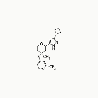 CC1(Sc2cccc(C(F)(F)F)c2)CCOC(c2cc(C3CCC3)n[nH]2)C1